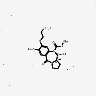 COc1cc2c(cc1OCCC(=O)O)N(C(=O)OC(C)(C)C)[C@@H](O)[C@@H]1CCCN1C2=O